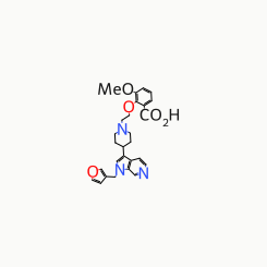 COc1cccc(C(=O)O)c1OCCN1CCC(c2cn(Cc3ccoc3)c3cnccc23)CC1